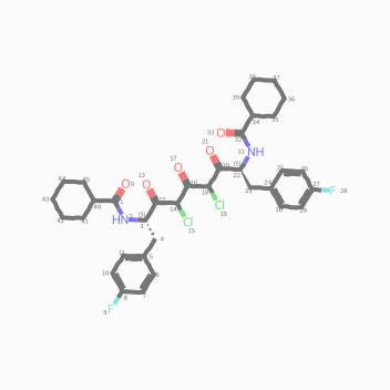 O=C(N[C@@H](Cc1ccc(F)cc1)C(=O)C(Cl)C(=O)C(Cl)C(=O)[C@H](Cc1ccc(F)cc1)NC(=O)C1CCCCC1)C1CCCCC1